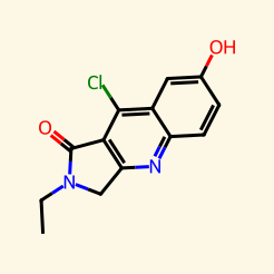 CCN1Cc2nc3ccc(O)cc3c(Cl)c2C1=O